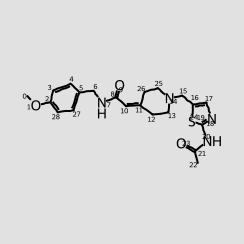 COc1ccc(CNC(=O)C=C2CCN(Cc3cnc(NC(C)=O)s3)CC2)cc1